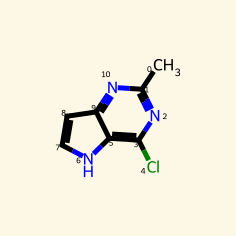 Cc1nc(Cl)c2[nH]ccc2n1